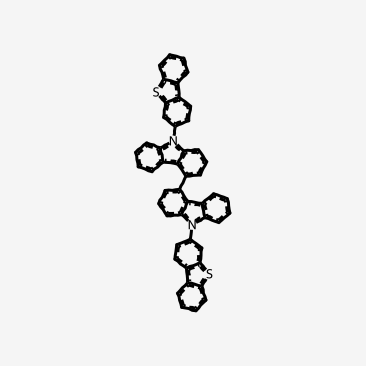 c1ccc2c(c1)sc1cc(-n3c4ccccc4c4c(-c5cccc6c5c5ccccc5n6-c5ccc6c(c5)sc5ccccc56)cccc43)ccc12